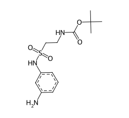 CC(C)(C)OC(=O)NCCS(=O)(=O)Nc1cccc(N)c1